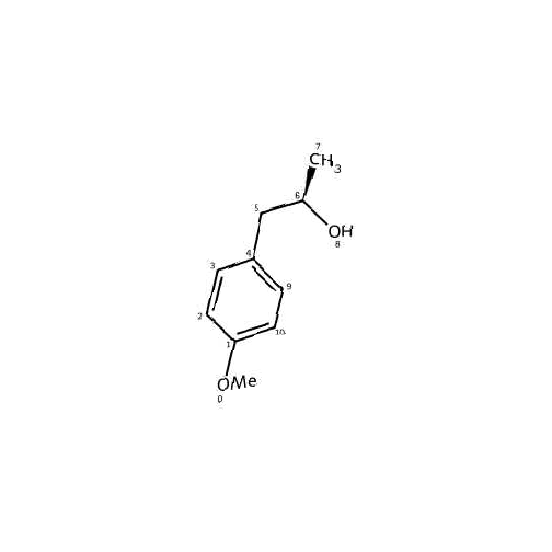 COc1ccc(C[C@@H](C)O)cc1